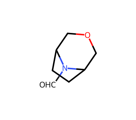 O=CN1C2CCC1COC2